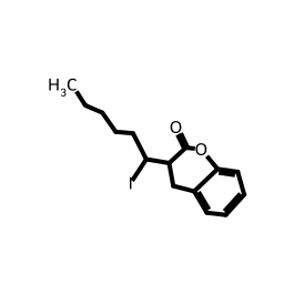 CCCCCC(I)C1Cc2ccccc2OC1=O